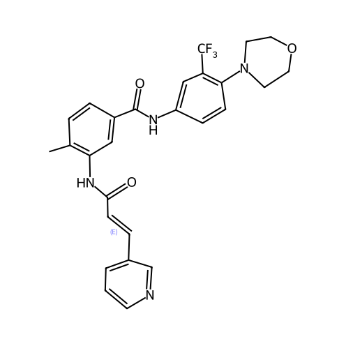 Cc1ccc(C(=O)Nc2ccc(N3CCOCC3)c(C(F)(F)F)c2)cc1NC(=O)/C=C/c1cccnc1